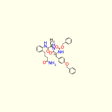 C[C@@H](NC(=O)[C@H](Cc1ccc(OCc2ccccc2)cc1)NC(=O)OCc1ccccc1)C(=O)Nc1ccccc1CCCC(N)=O